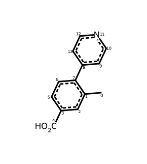 Cc1cc(C(=O)O)ccc1-c1ccncc1